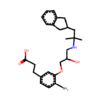 Bc1ccc(CCC(=O)O)cc1OCC(O)CNC(C)(C)CC1Cc2ccccc2C1